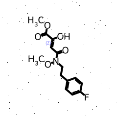 COC(=O)/C(O)=C/C(=O)N(CCc1ccc(F)cc1)OC